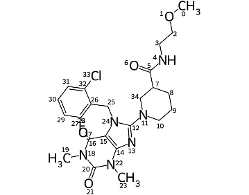 COCCNC(=O)C1CCCN(c2nc3c(c(=O)n(C)c(=O)n3C)n2Cc2c(F)cccc2Cl)C1